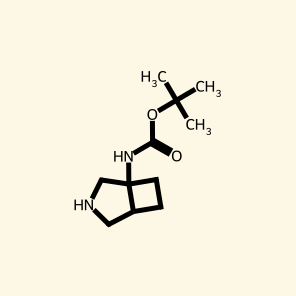 CC(C)(C)OC(=O)NC12CCC1CNC2